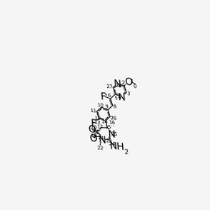 COc1cnc(/C(F)=C/c2ccc(F)c([C@]3(C)CS(=O)(=O)N(C)C(N)=N3)c2)cn1